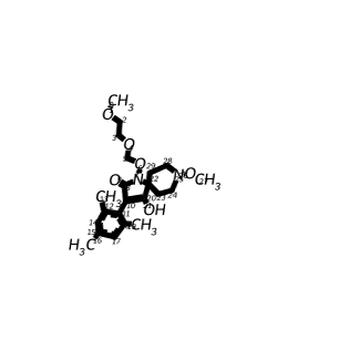 COCCOCON1C(=O)C(c2c(C)cc(C)cc2C)=C(O)C12CCN(OC)CC2